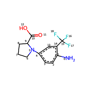 Nc1ccc(N2CCCC2C(=O)O)cc1C(F)(F)F